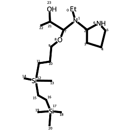 CCN(C1CCCN1)C(OCCC[Si](C)(C)CC[Si](C)(C)C)C(C)O